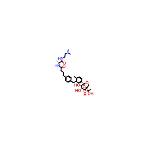 Cc1ccc([C@]23OC[C@](C(C)(C)O)(O2)[C@@H](O)[C@H](O)[C@H]3O)cc1Cc1ccc(CCCC(=O)N[C@H](C)C(=O)NCCN(C)C)cc1